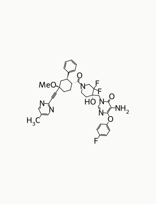 CO[C@]1(C#Cc2ncc(C)cn2)CC[C@@H](C(=O)N2CC[C@](O)(Cn3cnc(Oc4ccc(F)cc4)c(N)c3=O)C(F)(F)C2)[C@H](c2ccccc2)C1